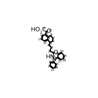 O=C(CCCC1CCCc2c(C(=O)C(=O)O)cccc21)NN(c1ccccc1)c1ccccc1